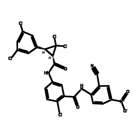 N#Cc1cc([N+](=O)[O-])ccc1NC(=O)c1cc(NC(=O)[C@@H]2[C@@H](c3cc(Cl)cc(Cl)c3)C2(Cl)Cl)ccc1Cl